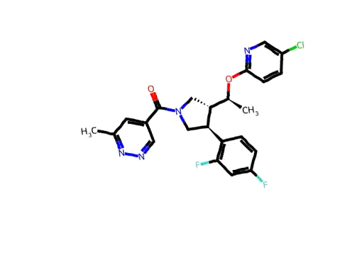 Cc1cc(C(=O)N2C[C@H]([C@H](C)Oc3ccc(Cl)cn3)[C@@H](c3ccc(F)cc3F)C2)cnn1